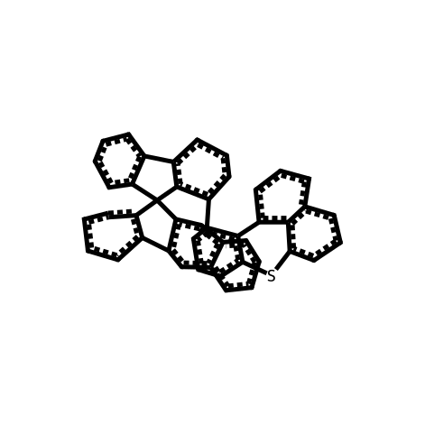 c1ccc2c(c1)-c1cc3ccccc3cc1C21c2ccccc2-c2cccc(-c3cccc4c3-c3cccc5cccc(c35)S4)c21